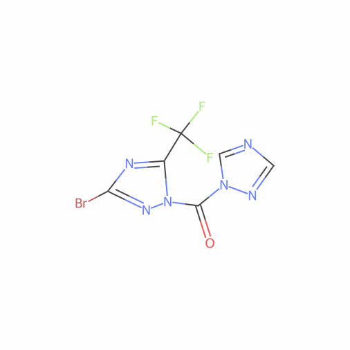 O=C(n1cncn1)n1nc(Br)nc1C(F)(F)F